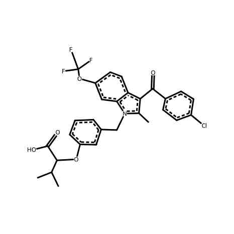 Cc1c(C(=O)c2ccc(Cl)cc2)c2ccc(OC(F)(F)F)cc2n1Cc1cccc(OC(C(=O)O)C(C)C)c1